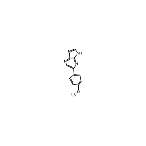 FC(F)(F)Oc1ccc(-c2cnc3nc[nH]c3n2)cc1